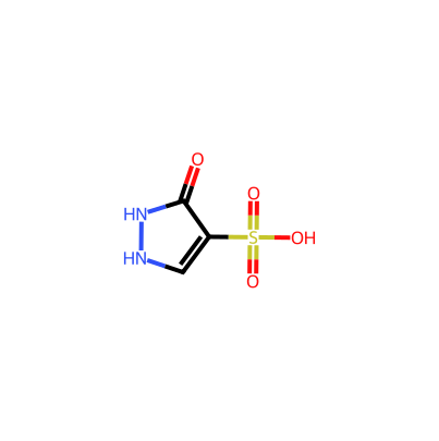 O=c1[nH][nH]cc1S(=O)(=O)O